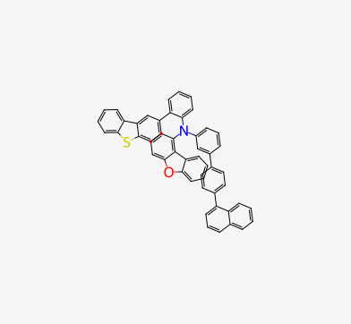 c1cc(-c2ccc(-c3cccc4ccccc34)cc2)cc(N(c2ccccc2-c2ccc3sc4ccccc4c3c2)c2cccc3oc4ccccc4c23)c1